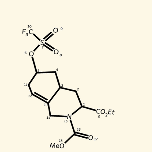 CCOC(=O)C1CC2CC(OS(=O)(=O)C(F)(F)F)CC=C2CN1C(=O)OC